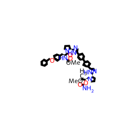 COC(=O)N[C@@H](Cc1ccc(OCc2ccccc2)cc1)C(=O)N1CCC[C@H]1c1ncc(-c2ccc(-c3ccc(-c4cnc([C@@H]5CCCN5C[C@H](OC(N)=O)[C@@H](C)OC)[nH]4)cc3)cc2)[nH]1